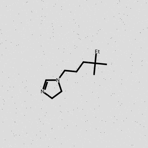 CCC(C)(C)CCCN1C=NCC1